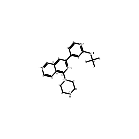 CC(C)(C)Nc1cc(-c2cc3cnccc3c(N3CCNCC3)n2)ccn1